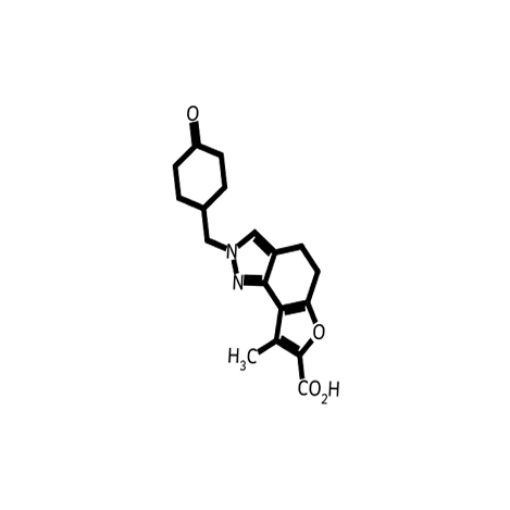 Cc1c(C(=O)O)oc2c1-c1nn(CC3CCC(=O)CC3)cc1CC2